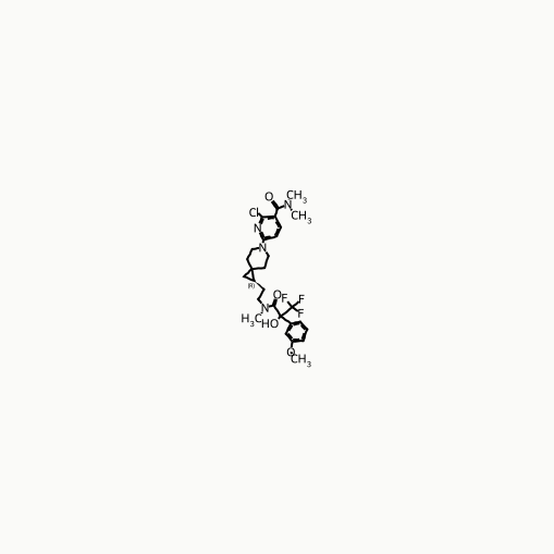 COc1cccc(C(O)(C(=O)N(C)CC[C@H]2CC23CCN(c2ccc(C(=O)N(C)C)c(Cl)n2)CC3)C(F)(F)F)c1